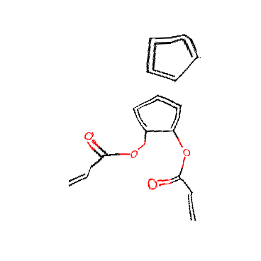 C=CC(=O)OC1=C=C=C=C1OC(=O)C=C.[C]1=C=C=C=[C]1